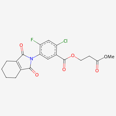 COC(=O)CCOC(=O)c1cc(N2C(=O)C3=C(CCCC3)C2=O)c(F)cc1Cl